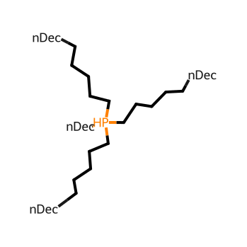 CCCCCCCCCCCCCCC[PH](CCCCCCCCCC)(CCCCCCCCCCCCCCC)CCCCCCCCCCCCCCC